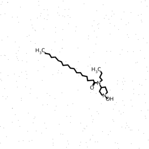 CCCCCCCCCCCCCCCCCC(=O)N(CCCC)C1CCN(O)CC1